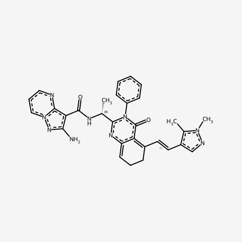 Cc1c(/C=C/C2=c3c(nc([C@@H](C)NC(=O)c4c(N)nn5cccnc45)n(-c4ccccc4)c3=O)=CCC2)cnn1C